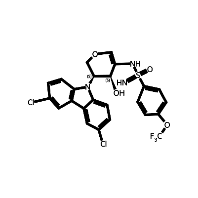 N=S(=O)(NC1=COC[C@H](n2c3ccc(Cl)cc3c3cc(Cl)ccc32)[C@@H]1O)c1ccc(OC(F)(F)F)cc1